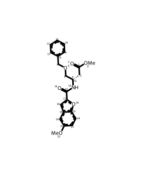 COC(=O)C[C@@H](COCc1ccccc1)NC(=O)c1cc2cc(OC)ccc2o1